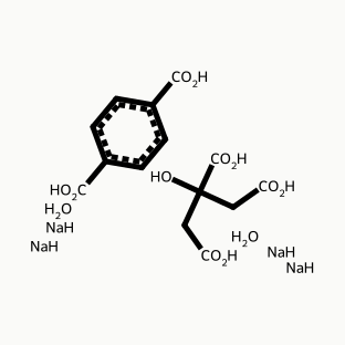 O.O.O=C(O)CC(O)(CC(=O)O)C(=O)O.O=C(O)c1ccc(C(=O)O)cc1.[NaH].[NaH].[NaH].[NaH]